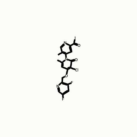 Cc1cnc(C(=O)I)cc1-n1c(C)cc(OCc2ncc(F)cc2F)c(Cl)c1=O